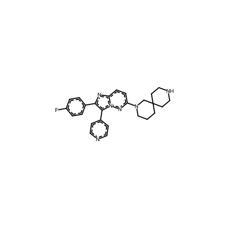 Fc1ccc(-c2nc3ccc(N4CCCC5(CCNCC5)C4)nn3c2-c2ccncc2)cc1